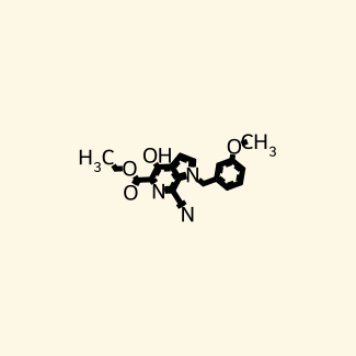 CCOC(=O)c1nc(C#N)c2c(ccn2Cc2cccc(OC)c2)c1O